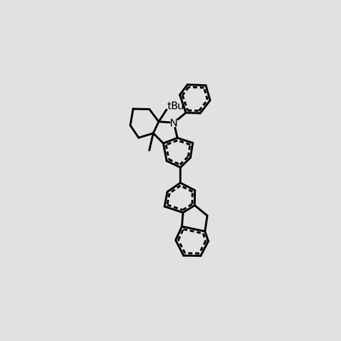 CC(C)(C)C12CCCCC1(C)c1cc(-c3ccc4c(c3)Cc3ccccc3-4)ccc1N2c1ccccc1